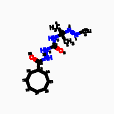 CC(C)(C)N=NC(C)(C)NC(=O)NNC(=O)C1CCCCCCC1